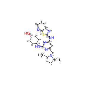 CC1CCC(C)N1Cc1cc(Nc2nc3cccnc3s2)nc(NC2CCC(O)CC2)n1